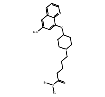 CCCCc1cc(OC2CCN(CCCCC(=O)N(CC)CC)CC2)c2ncccc2c1